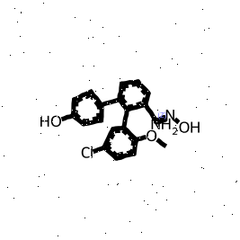 COc1ccc(Cl)cc1-c1c(/C(N)=N/O)cccc1-c1ccc(O)cc1